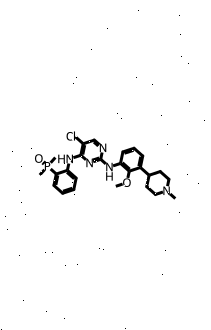 COc1c(Nc2ncc(Cl)c(Nc3ccccc3P(C)(C)=O)n2)cccc1C1CCN(C)CC1